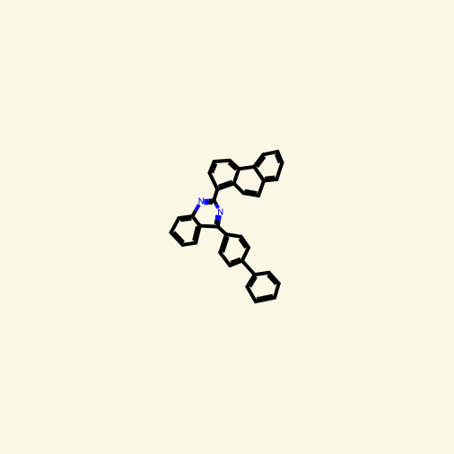 c1ccc(-c2ccc(-c3nc(-c4cccc5c4ccc4ccccc45)nc4ccccc34)cc2)cc1